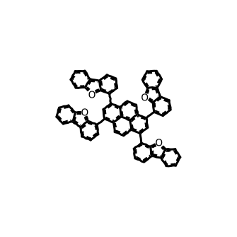 c1ccc2c(c1)oc1c(-c3cc(-c4cccc5c4oc4ccccc45)c4ccc5c(-c6cccc7c6oc6ccccc67)cc(-c6cccc7c6oc6ccccc67)c6ccc3c4c65)cccc12